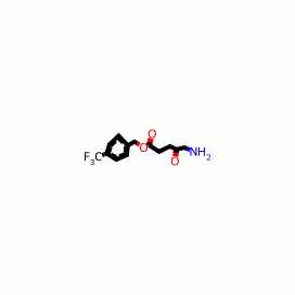 NCC(=O)CCC(=O)OCc1ccc(C(F)(F)F)cc1